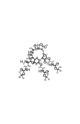 COC(=O)[C@@H]1Cc2cc(OCCNC(=O)OC(C)(C)C)c(OC)c(c2)-c2cc(ccc2OCCNC(=O)OC(C)(C)C)[C@H](N(C)C(=O)[C@@H](N)CCNC(=O)OC(C)(C)C)C(=O)N[C@@H](C)C(=O)N1